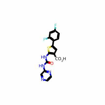 O=C(Nc1cnccn1)Nc1sc(-c2ccc(F)cc2F)cc1C(=O)O